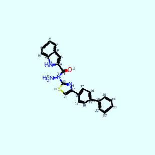 NN(C(=O)c1cc2ccccc2[nH]1)c1nc(-c2ccc(-c3ccccc3)cc2)cs1